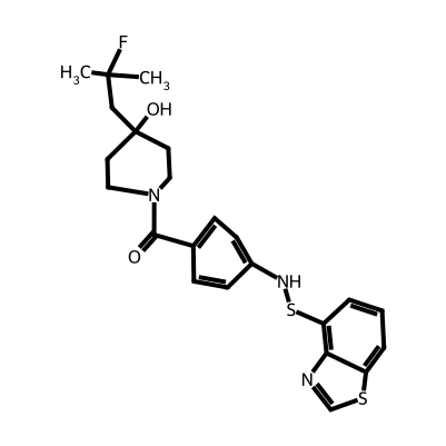 CC(C)(F)CC1(O)CCN(C(=O)c2ccc(NSc3cccc4scnc34)cc2)CC1